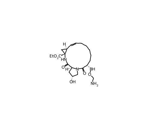 CCOC(=O)[C@@]12C[C@H]1/C=C\CCCCC[C@H](BOCN)C(=O)N1C[C@H](O)C[C@H]1C(=O)N2